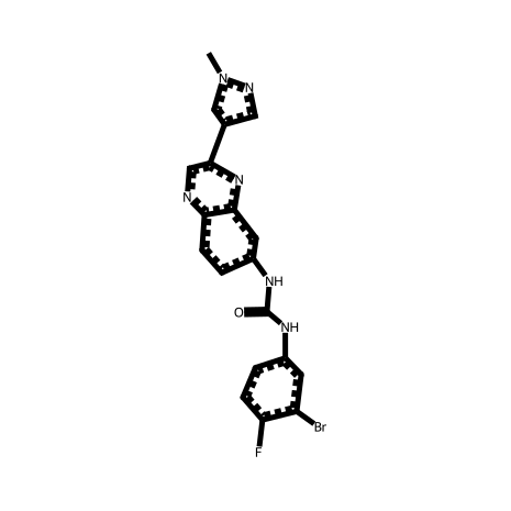 Cn1cc(-c2cnc3ccc(NC(=O)Nc4ccc(F)c(Br)c4)cc3n2)cn1